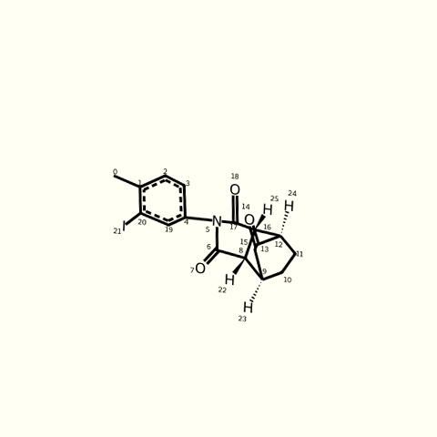 Cc1ccc(N2C(=O)[C@H]3[C@@H]4CC[C@@H](C(=O)C4)[C@H]3C2=O)cc1I